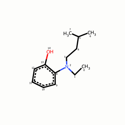 CCN(CCC(C)C)c1ccccc1O